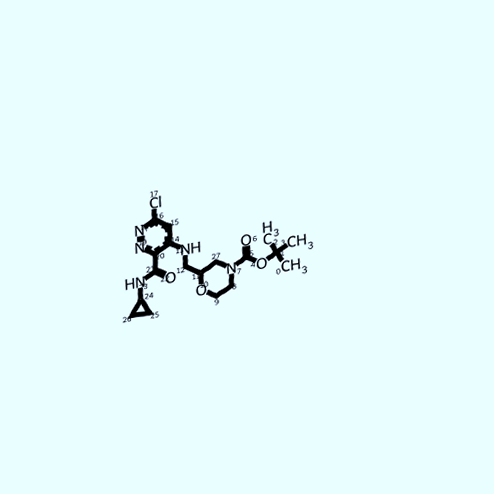 CC(C)(C)OC(=O)N1CCOC(CNc2cc(Cl)nnc2C(=O)NC2CC2)C1